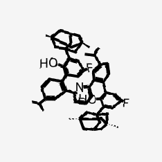 CC(C)c1ccc(-c2cc(F)cc(C34CC5C[C@@](C)(C3)C[C@](C)(C5)C4)c2O)c(-c2cccc(-c3cc(C(C)C)ccc3-c3cc(F)cc(C45CC6C[C@@](C)(C4)C[C@](C)(C6)C5)c3O)n2)c1